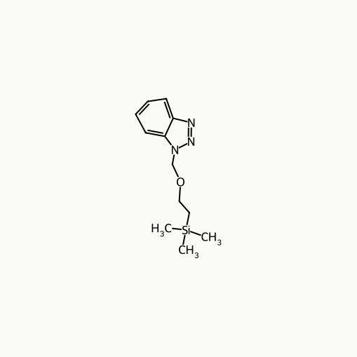 C[Si](C)(C)CCOCn1nnc2ccccc21